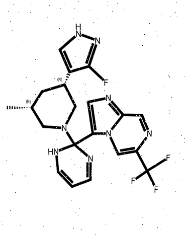 C[C@@H]1C[C@H](c2c[nH]nc2F)CN(C2(c3cnc4cnc(C(F)(F)F)cn34)N=CC=CN2)C1